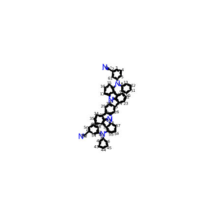 N#Cc1cccc(N(c2ccccc2)c2cccc3c2c2cccc4c5cc6c(cc5n3c42)c2cccc3c4c(N(c5ccccc5)c5cccc(C#N)c5)cccc4n6c23)c1